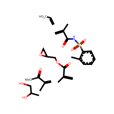 C=C(C)C(=O)NS(=O)(=O)c1ccccc1C.C=C(C)C(=O)OC.C=C(C)C(=O)OCC1CO1.C=CC(=O)O.CC(O)CO